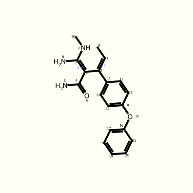 C/C=C(\C(C(N)=O)=C(\N)NC)c1ccc(Oc2ccccc2)cc1